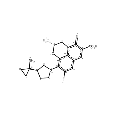 C[C@@H]1Cn2c(=O)c(C(=O)O)cc3cc(F)c(N4CC[C@@H](C5(N)CC5)C4)c(c32)O1